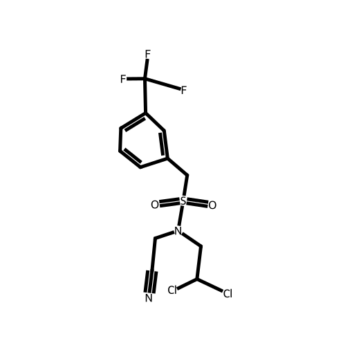 N#CCN(CC(Cl)Cl)S(=O)(=O)Cc1cccc(C(F)(F)F)c1